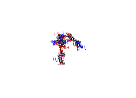 COc1cc(N)c(C(=O)N2CCC[C@H]2C2OCCN2C(=O)OCCSSC[C@H](NC(=O)[C@H](CC(=O)O)NC(=O)[C@H](CC(=O)O)NC(=O)[C@H](CCCNC(=N)N)NC(=O)[C@H](CC(=O)O)NC(=O)CC[C@H](NC(=O)c2ccc(NCc3cnc4nc(N)[nH]c(=O)c4n3)cc2)C(=O)O)C(=O)O)cc1OC